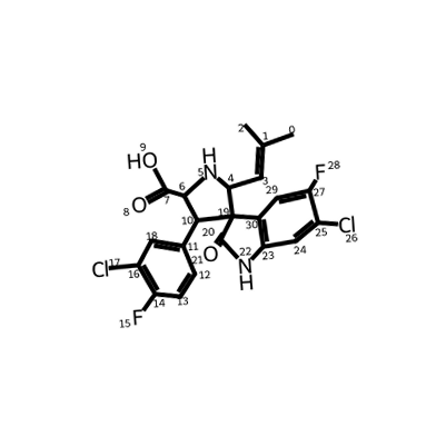 CC(C)=CC1NC(C(=O)O)C(c2ccc(F)c(Cl)c2)C12C(=O)Nc1cc(Cl)c(F)cc12